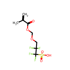 C=C(C)C(=O)OCOCC(F)(F)C(F)(F)S(=O)(=O)O